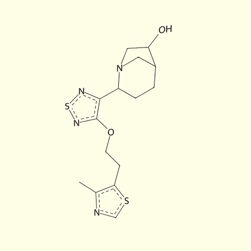 Cc1ncsc1CCOc1nsnc1C1CCC2CN1CC2O